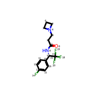 O=C(CCN1CCC1)N[C@@H](c1ccc(F)cc1)C(F)(F)F